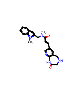 CN(Cc1cc2ccccc2n1C)C(=O)/C=C/c1cnc2c(c1)CNCC(=O)N2